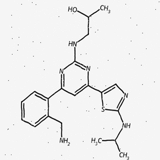 CC(O)CNc1nc(-c2cnc(NC(C)C)s2)cc(-c2ccccc2CN)n1